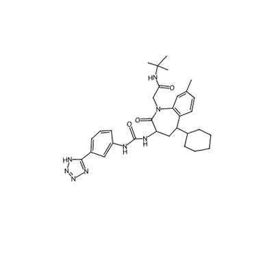 Cc1ccc2c(c1)N(CC(=O)NC(C)(C)C)C(=O)C(NC(=O)Nc1cccc(-c3nnn[nH]3)c1)CC2C1CCCCC1